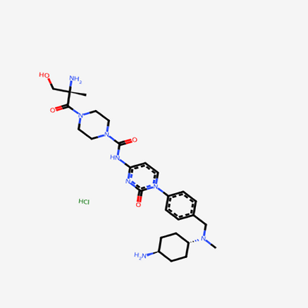 CN(Cc1ccc(-n2ccc(NC(=O)N3CCN(C(=O)[C@@](C)(N)CO)CC3)nc2=O)cc1)[C@H]1CC[C@H](N)CC1.Cl